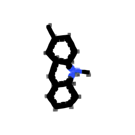 Cc1ccc2c(c1)cc1ccccc1[n+]2C